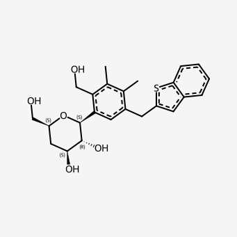 Cc1c(Cc2cc3ccccc3s2)cc([C@@H]2O[C@H](CO)C[C@H](O)[C@H]2O)c(CO)c1C